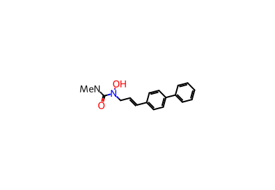 CNC(=O)N(O)CC=Cc1ccc(-c2ccccc2)cc1